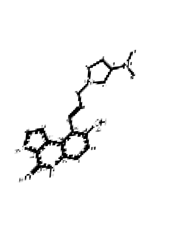 CN(C)C1CCN(C/C=C/c2c(O)ccc3[nH]c(=O)c4sccc4c23)C1